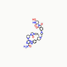 CN1CCN([C@@H]2CCCN(c3cnc(C(N)=O)c(Nc4ccc(C5CCN(CC6CN(c7ccc8c(c7)C(=O)N(C7CCC(O)NC7=O)C8=O)C6)CC5)cc4)n3)C2)C1=O